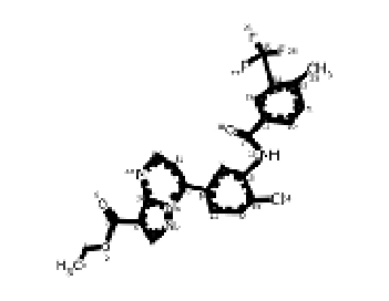 CCOC(=O)c1cnn2c(-c3ccc(Cl)c(NC(=O)c4ccc(C)c(C(F)(F)F)c4)c3)ccnc12